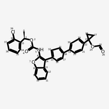 C[C@@H](OC(=O)Nc1oc2ccccc2c1-c1ccc(-c2ccc(C3(OC=O)CC3)cc2)cc1)c1ccccc1Cl